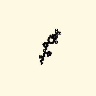 CCNc1ncc2c(n1)N(C)CCC(c1cccc(COC(CCNCCF)c3cccs3)c1)CCC2=O